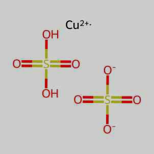 O=S(=O)(O)O.O=S(=O)([O-])[O-].[Cu+2]